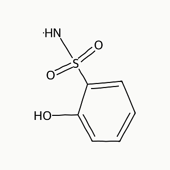 [NH]S(=O)(=O)c1ccccc1O